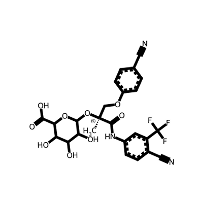 C[C@@](COc1ccc(C#N)cc1)(OC1OC(C(=O)O)C(O)C(O)C1O)C(=O)Nc1ccc(C#N)c(C(F)(F)F)c1